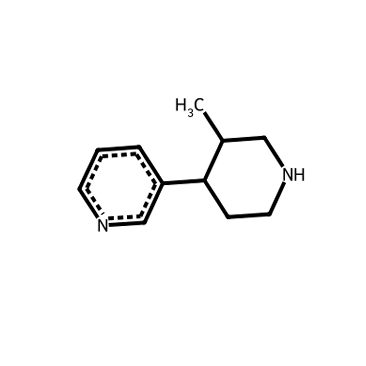 CC1CNCCC1c1cccnc1